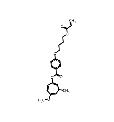 C=CC(=O)OCCCCOc1ccc(C(=O)OC2=CC(C)C=C(OC)C=C2)cc1